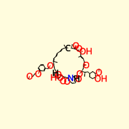 COCCOc1cccc(COC2C[C@@H]3CC[C@@H](C)[C@@](O)(O3)C(=O)C(=O)N3CCCC[C@H]3C(=O)O[C@H]([C@H](C)C[C@@H]3CC[C@@H](O)[C@H](OC)C3)CC(=O)C/C=C(\C)[C@H](O)[C@@H](OC)C(=O)[C@H](C)C[C@H](C)/C=C/C=C/C=C/2C)c1